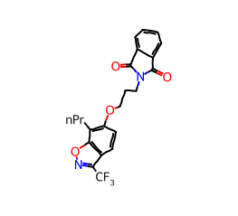 CCCc1c(OCCCN2C(=O)c3ccccc3C2=O)ccc2c(C(F)(F)F)noc12